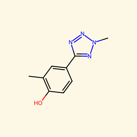 Cc1cc(-c2nnn(C)n2)ccc1O